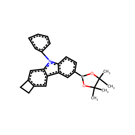 CC1(C)OB(c2ccc3c(c2)c2cc4c(cc2n3-c2ccccc2)CC4)OC1(C)C